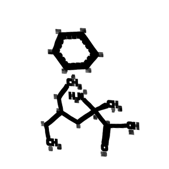 CCC(CC)C[C@](C)(N)C(=O)O.c1ccccc1